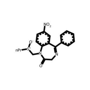 CCC[S+]([O-])CN1C(=O)CN=C(c2ccccc2)c2cc([N+](=O)[O-])ccc21